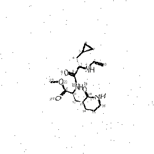 C=CN[C@@H](CC1CC1)C(=O)N[C@@H](C[C@@H]1CCCNC1=O)C(=O)OC